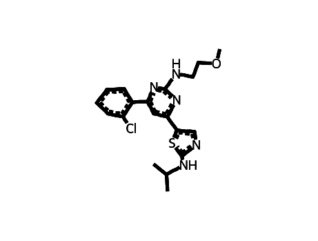 COCCNc1nc(-c2cnc(NC(C)C)s2)cc(-c2ccccc2Cl)n1